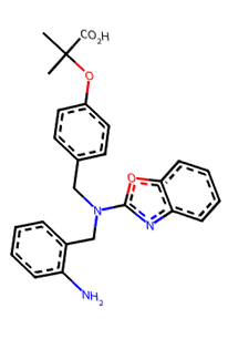 CC(C)(Oc1ccc(CN(Cc2ccccc2N)c2nc3ccccc3o2)cc1)C(=O)O